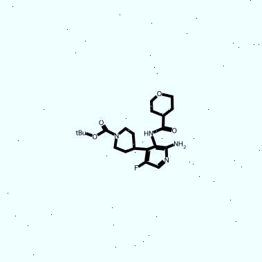 CC(C)(C)OC(=O)N1CCC(c2c(F)cnc(N)c2NC(=O)C2CCOCC2)CC1